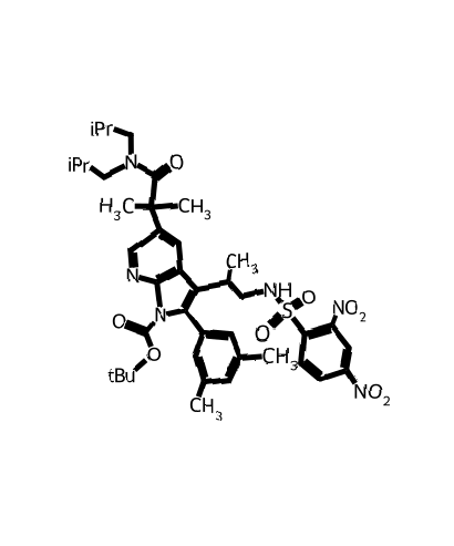 Cc1cc(C)cc(-c2c(C(C)CNS(=O)(=O)c3ccc([N+](=O)[O-])cc3[N+](=O)[O-])c3cc(C(C)(C)C(=O)N(CC(C)C)CC(C)C)cnc3n2C(=O)OC(C)(C)C)c1